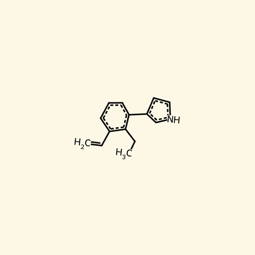 C=Cc1cccc(-c2cc[nH]c2)c1CC